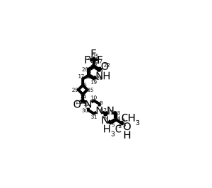 CC(C)(O)c1cnc(N2CCN(C(=O)C3CC(Cc4c[nH]c(=O)c(C(F)(F)F)c4)C3)CC2)nc1